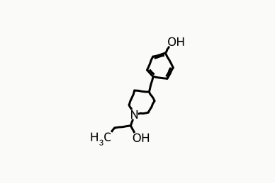 CCC(O)N1CCC(c2ccc(O)cc2)CC1